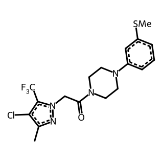 CSc1cccc(N2CCN(C(=O)Cn3nc(C)c(Cl)c3C(F)(F)F)CC2)c1